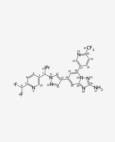 CC(C)C(c1ccc(C(F)F)nc1)n1cc(-c2cc(-c3ccc(C(F)(F)F)nc3)n3nc(N)nc3c2)cn1